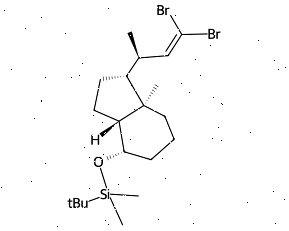 C[C@@H](C=C(Br)Br)[C@H]1CC[C@H]2[C@@H](O[Si](C)(C)C(C)(C)C)CCC[C@]12C